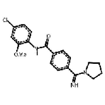 COc1cc(Cl)ccc1NC(=O)c1ccc(C(=N)N2CCCC2)cc1